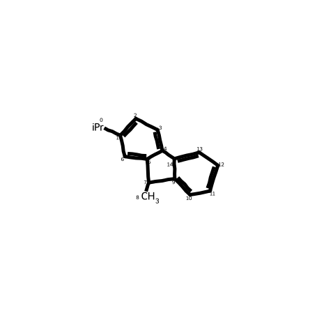 CC(C)c1ccc2c(c1)C(C)c1ccccc1-2